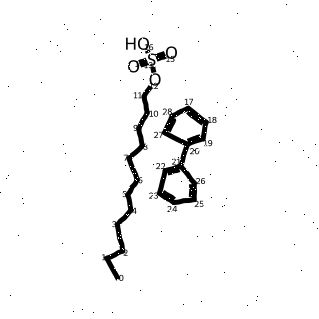 CCCCCCCCCCCCOS(=O)(=O)O.c1ccc(-c2ccccc2)cc1